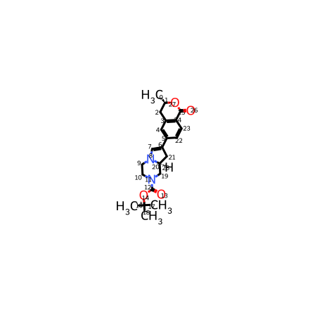 C[C@@H]1Cc2cc(C3=CN4CCN(C(=O)OC(C)(C)C)C[C@@H]4C3)ccc2C(=O)O1